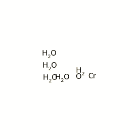 O.O.O.O.O.[Cr]